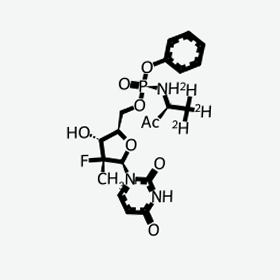 [2H]C([2H])([2H])[C@H](N[P@](=O)(OC[C@H]1O[C@@H](n2ccc(=O)[nH]c2=O)[C@](C)(F)[C@@H]1O)Oc1ccccc1)C(C)=O